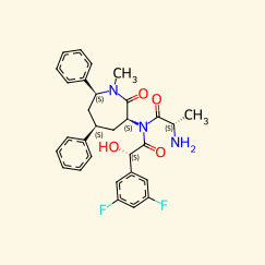 C[C@H](N)C(=O)N(C(=O)[C@@H](O)c1cc(F)cc(F)c1)[C@H]1C[C@@H](c2ccccc2)C[C@@H](c2ccccc2)N(C)C1=O